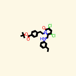 CCc1cccc(NCc2c(Cl)cc(Cl)c(=O)n2CCc2ccc(C(=O)OC(C)(C)C)cc2)c1